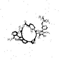 CCn1c(-c2cccnc2[C@H](C)OC)c2c3cc(ccc31)-c1csc(n1)C[C@H](NC(=O)[C@H](C(C)C)N(C)C(=O)N1CCO[C@H](CN(C)C)C1)C(=O)N1CCC[C@H](N1)C(=O)OCC(C)(C)C2